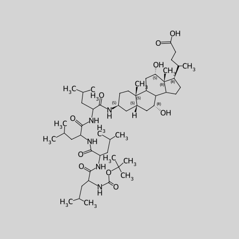 CC(C)CC(NC(=O)OC(C)(C)C)C(=O)NC(CC(C)C)C(=O)NC(CC(C)C)C(=O)NC(CC(C)C)C(=O)N[C@H]1CC[C@]2(C)C3C[C@H](O)[C@@]4(C)C(CC[C@@H]4C(C)CCC(=O)O)C3[C@H](O)C[C@@H]2C1